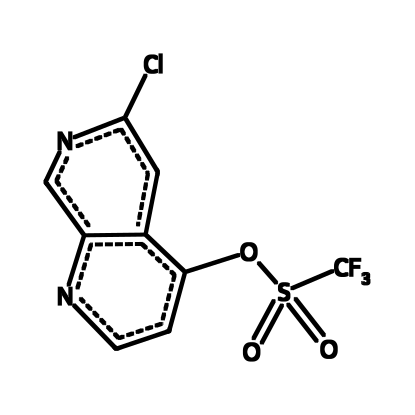 O=S(=O)(Oc1ccnc2cnc(Cl)cc12)C(F)(F)F